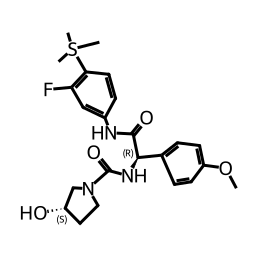 COc1ccc([C@@H](NC(=O)N2CC[C@H](O)C2)C(=O)Nc2ccc(S(C)(C)C)c(F)c2)cc1